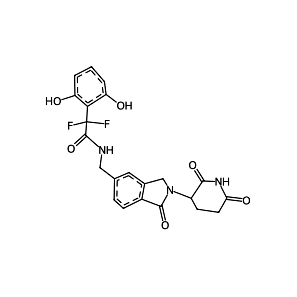 O=C1CCC(N2Cc3cc(CNC(=O)C(F)(F)c4c(O)cccc4O)ccc3C2=O)C(=O)N1